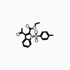 CCOC(=O)c1c(C(C)=O)c2ccccc2n1S(=O)(=O)c1ccc(C)cc1